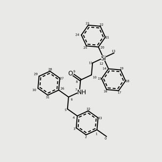 Cc1ccc(CC(NC(=O)CC[Si](C)(c2ccccc2)c2ccccc2)c2ccccc2)cc1